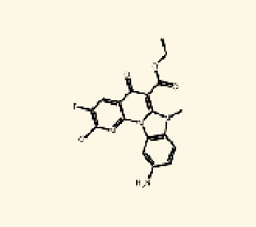 CCOC(=O)c1c(=O)c2cc(F)c(Cl)nc2n2c3cc(N)ccc3n(C)c12